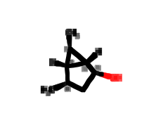 C[C@@H]1[C@@H]2[C@H]1[C@@H](O)C[C@H]2C